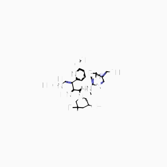 C\C=C(/N=C\C(=C/C)C(F)(F)F)NC[C@@H]1C(C)CC(F)(F)CN1C(=O)C(=N)/C(=C\NC)c1cccc(OC)n1